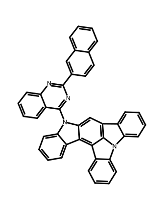 c1ccc2cc(-c3nc(-n4c5ccccc5c5c6c7ccccc7n7c8ccccc8c(cc54)c67)c4ccccc4n3)ccc2c1